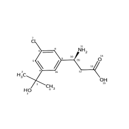 CC(C)(O)c1cc(Cl)cc([C@@H](N)CC(=O)O)c1